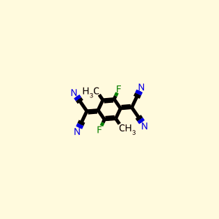 Cc1c(F)c(=C(C#N)C#N)c(C)c(F)c1=C(C#N)C#N